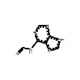 O=CNc1ncnc2[nH]cnc12